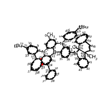 Cc1cc2c3c(c1)N(c1ccc(C(C)(C)C)cc1-c1ccccc1)c1ccc(-c4ccccc4)cc1B3c1ccc(N3c4ccccc4C4(C)CCc5ccccc5C34C)cc1N2c1ccc(C(C)(C)C)cc1